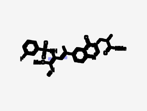 C=N/C(OC)=C(\C=C(/C)c1ccc2ncn(CC(C)C(=O)NC)c(=O)c2c1)NS(=O)(=O)c1cccc(F)c1